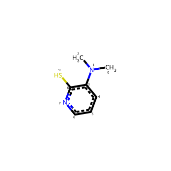 CN(C)c1cccnc1S